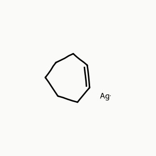 C1=CCCCCC1.[Ag]